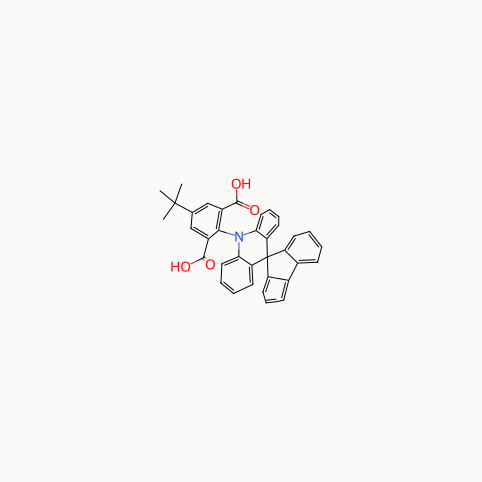 CC(C)(C)c1cc(C(=O)O)c(N2c3ccccc3C3(c4ccccc4-c4ccccc43)c3ccccc32)c(C(=O)O)c1